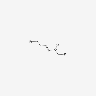 CC(C)CCC=N[S+]([O-])CC(C)C